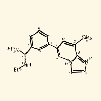 CCNC(C)c1cccc(-c2cc(OC)c3nccn3c2)c1